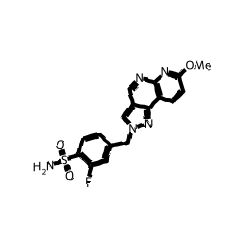 COc1ccc2c(ncc3cn(Cc4ccc(S(N)(=O)=O)c(F)c4)nc32)n1